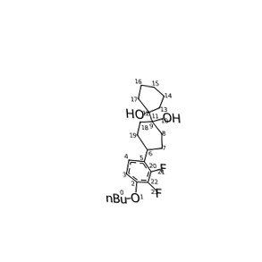 CCCCOc1ccc(C2CCC(O)(C3(O)CCCCC3)CC2)c(F)c1F